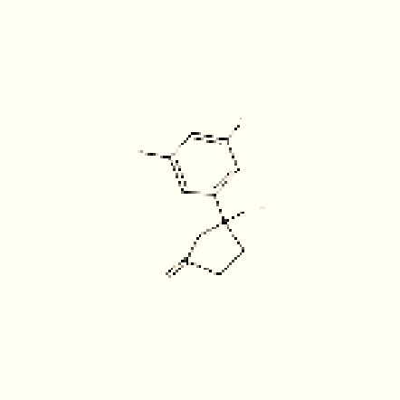 O=C1CCC(c2cc(Cl)cc(Cl)c2)(C(F)(F)F)C1